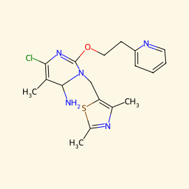 CC1=C(Cl)N=C(OCCc2ccccn2)N(Cc2sc(C)nc2C)C1N